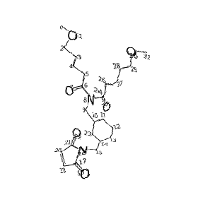 COCCCCC(=O)N(CC1CCCC(CN2C(=O)C=CC2=O)C1)C(=O)CCCCOC